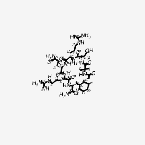 CC(=O)NC(C)(C)C(=O)N[C@H](C(=O)N[C@@H](CCCNC(=N)N)C(=O)N[C@@H](CCC(N)=O)C(=O)N[C@@H](CCCNC(=N)N)C(=O)N[C@@H](CC1CCCCC1)C(N)=O)[C@@H](C)O